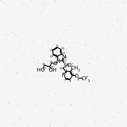 Cc1c(OCC(F)(F)F)ccnc1C[S+]([O-])c1nc2ccccc2n1OCC(O)CO